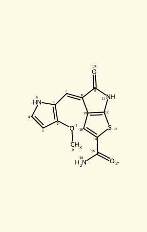 COc1cc[nH]c1C=C1C(=O)Nc2sc(C(N)=O)cc21